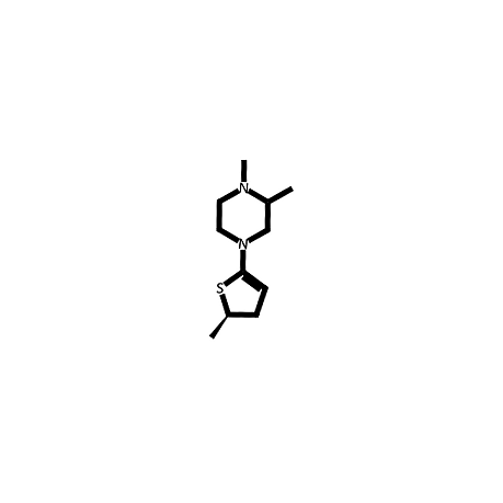 CC1CN(C2=CC[C@@H](C)S2)CCN1C